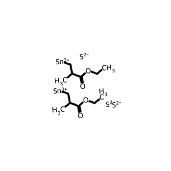 CCOC(=O)C(C)[CH2][Sn+3].CCOC(=O)C(C)[CH2][Sn+3].[S-2].[S-2].[S-2]